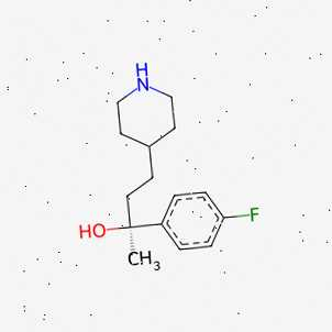 C[C@](O)(CCC1CCNCC1)c1ccc(F)cc1